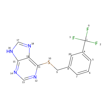 FC(F)(F)c1cccc(CSc2ncnc3[nH]cnc23)c1